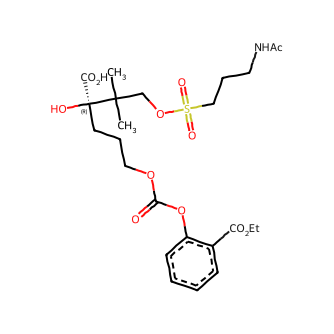 CCOC(=O)c1ccccc1OC(=O)OCCC[C@](O)(C(=O)O)C(C)(C)COS(=O)(=O)CCCNC(C)=O